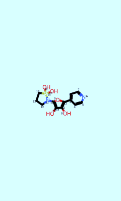 Oc1c(-c2ccncc2)oc(N2CCCS2(O)O)c1O